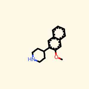 COc1cc2ccccc2cc1C1CCNCC1